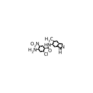 Cc1cc2cn[nH]c2cc1NC(=O)c1cc([N+](=O)[O-])c(N)cc1Cl